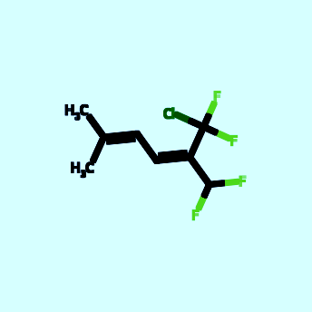 CC(C)=CC=C(C(F)F)C(F)(F)Cl